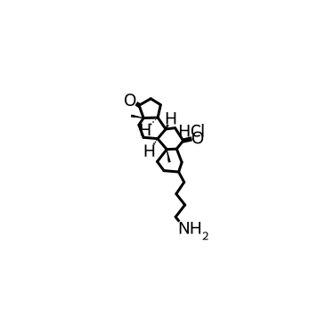 C[C@]12CCC(CCCCN)CC1C(=O)C[C@@H]1[C@@H]2CC[C@]2(C)C(=O)CC[C@@H]12.Cl